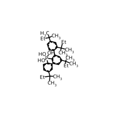 CCC(C)(C)c1ccc(P(O)(O)(O)c2ccc(C(C)(C)CC)cc2-c2ccc(C(C)(C)CC)cc2C(C)(C)CC)cc1